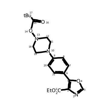 CCOC(=O)c1ncoc1-c1ccc(N2CCN(OC(=O)C(C)(C)C)CC2)cc1